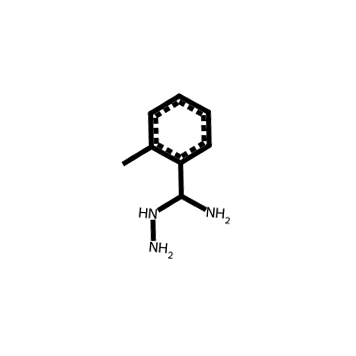 Cc1ccccc1C(N)NN